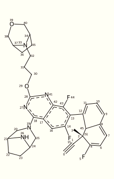 C#C[C@@]1(C)C(F)=CC=C2C=CC=C(c3c(F)cc4c(N5CC6CCC(C5)N6)nc(OCCCN5C6CCC5COC6)nc4c3F)C21